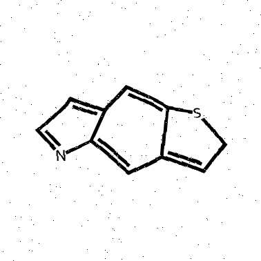 C1=Nc2cc3c(cc2=C1)SCC=3